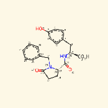 O=C(O)[C@H](Cc1ccc(O)cc1)NC(=O)[C@@H]1CCC(=O)N1Cc1ccccc1